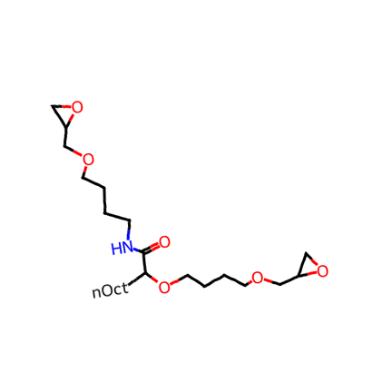 CCCCCCCCC(OCCCCOCC1CO1)C(=O)NCCCCOCC1CO1